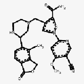 COc1cc(-n2cc(CN3CCNC(c4ccc5c(c4C)COC5=O)C3)c(C(N)=O)n2)ncc1C#N